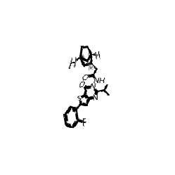 CC(C)c1nc2cc(-c3ccccc3F)sc2c(=O)n1NC(=O)C[C@H]1C[C@@H]2CC[C@H]1C2